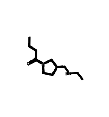 CCCC(=O)N1CCC(CNCC)C1